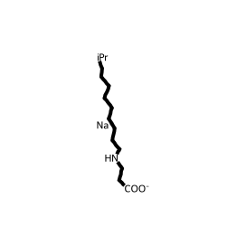 CC(C)CCCCCCCCCNCCC(=O)[O-].[Na+]